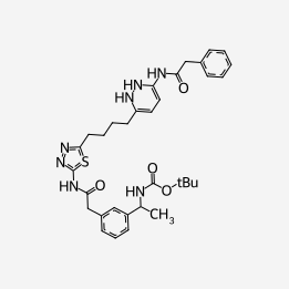 CC(NC(=O)OC(C)(C)C)c1cccc(CC(=O)Nc2nnc(CCCCC3=CC=C(NC(=O)Cc4ccccc4)NN3)s2)c1